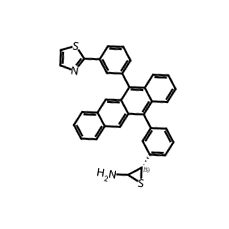 NC1S[C@H]1c1cccc(-c2c3ccccc3c(-c3cccc(-c4nccs4)c3)c3cc4ccccc4cc23)c1